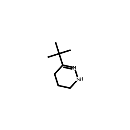 CC(C)(C)C1=NNCCC1